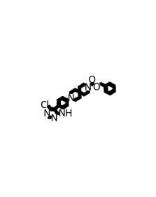 O=C(OCc1ccccc1)N1CCC2(CC1)CCN(c1ccc3c(c1)[nH]c1ncnc(Cl)c13)CC2